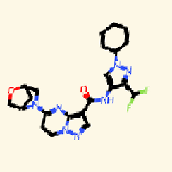 O=C(Nc1cn(C2CCCCC2)nc1C(F)F)c1cnn2c1N=C(N1CC3CC1CO3)CC2